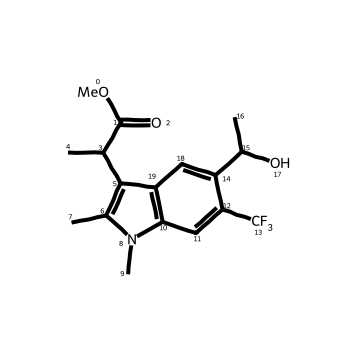 COC(=O)C(C)c1c(C)n(C)c2cc(C(F)(F)F)c(C(C)O)cc12